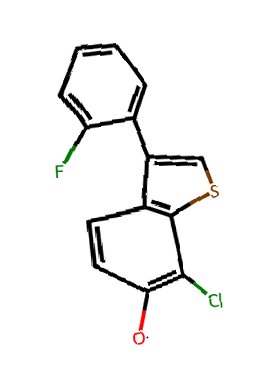 [O]c1ccc2c(-c3ccccc3F)csc2c1Cl